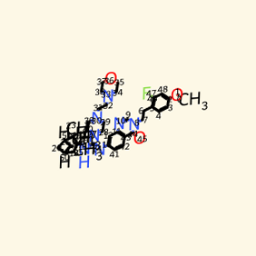 COc1ccc(CCn2cnc3cc(N=C(N[C@H]4C[C@H]5C[C@H]([C@H]4C)C5(C)C)N4CCN(CCN5CCOCC5)CC4)ccc3c2=O)c(F)c1